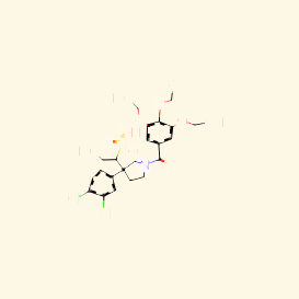 CCOc1cc(C(=O)N2CCC(c3ccc(Cl)c(Cl)c3)(C(CC)S(=O)(=O)O)C2)cc(OCC)c1OCC